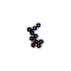 c1ccc(-c2ccc(-n3c4ccccc4c4ccc(-c5cccc6c5c5ccccc5n6-c5ccc(-c6ccccc6-c6ccccc6)c6c5oc5ccccc56)cc43)cc2)cc1